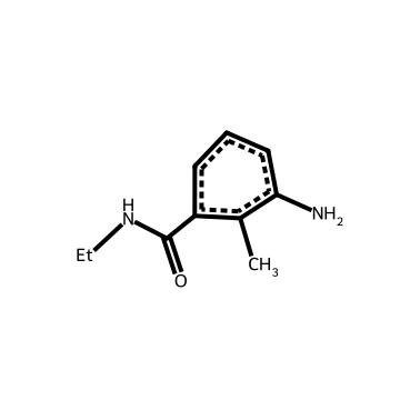 CCNC(=O)c1cccc(N)c1C